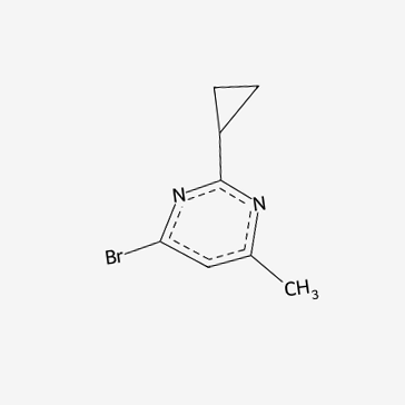 Cc1cc(Br)nc(C2CC2)n1